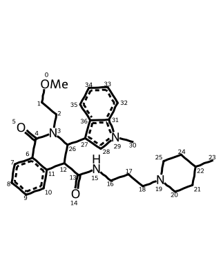 COCCN1C(=O)c2ccccc2C(C(=O)NCCCN2CCC(C)CC2)C1c1cn(C)c2ccccc12